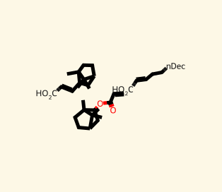 C=CC(=O)OC1CC2CCC1(C)C2(C)C.CC1(C)C2CCC1(C)C(C=CC(=O)O)C2.CCCCCCCCCCCCC=CC(=O)O